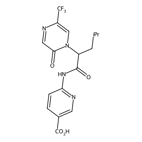 CC(C)CC(C(=O)Nc1ccc(C(=O)O)cn1)n1cc(C(F)(F)F)ncc1=O